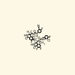 CC(NC(=O)Nc1ccc(F)c(C#N)c1)c1c[nH]c(=O)c2cc(F)c(F)cc12.CC(c1c[nH]c(=O)c2c(F)c(F)ccc12)N(C)C(=O)NCc1ccc(F)c(Cl)c1